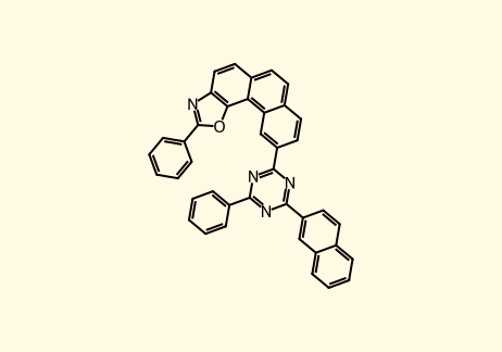 c1ccc(-c2nc(-c3ccc4ccccc4c3)nc(-c3ccc4ccc5ccc6nc(-c7ccccc7)oc6c5c4c3)n2)cc1